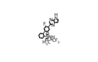 CC(NS(=O)(=O)c1ccccc1-c1ccc(-c2cnc3[nH]ccc3n2)c(F)c1)C(F)(F)F